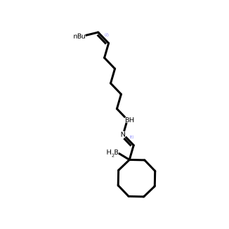 BC1(/C=N/BCCCCC/C=C\CCCC)CCCCCCC1